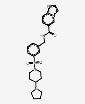 O=C(NCc1cccc(S(=O)(=O)N2CCC(N3CCCC3)CC2)c1)c1ccc2nccn2c1